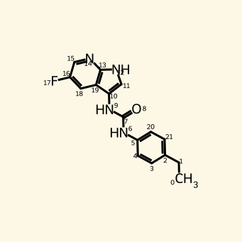 CCc1ccc(NC(=O)Nc2c[nH]c3ncc(F)cc23)cc1